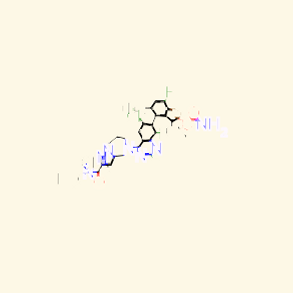 CN(C)C(=O)c1cc2n(n1)CCCN(c1nc(F)nc3c(F)c(-c4c(C(C)(C)C)cc(F)c5sc(OC(N)=O)c(C#N)c45)c(Cl)cc13)C2